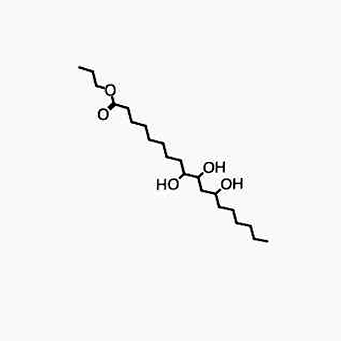 CCCCCCC(O)CC(O)C(O)CCCCCCCC(=O)OCCC